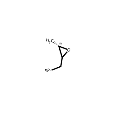 CCCCC1O[C@H]1C